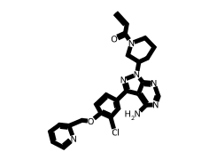 C=CC(=O)N1CCCC(n2nc(-c3ccc(OCc4ccccn4)c(Cl)c3)c3c(N)ncnc32)C1